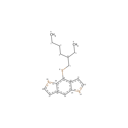 CCCCC(CC)CSc1c2ccsc2cc2ccsc12